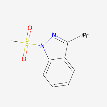 CC(C)c1nn(S(C)(=O)=O)c2ccccc12